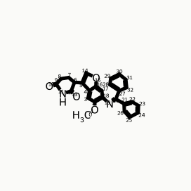 COc1cc2c(C3CCC(=O)NC3=O)coc2cc1N=C(c1ccccc1)c1ccccc1